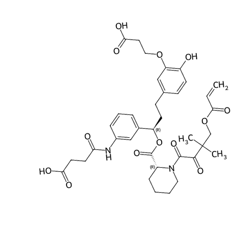 C=CC(=O)OCC(C)(C)C(=O)C(=O)N1CCCC[C@@H]1C(=O)O[C@H](CCc1ccc(O)c(OCCC(=O)O)c1)c1cccc(NC(=O)CCC(=O)O)c1